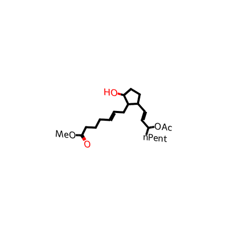 CCCCCC(C=CC1CCC(O)C1CC=CCCCC(=O)OC)OC(C)=O